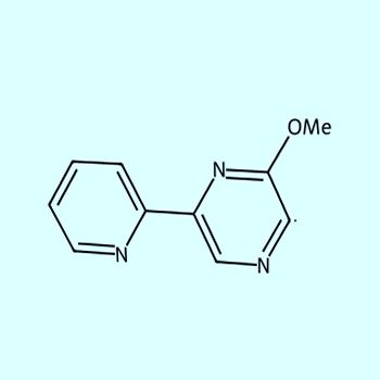 COc1[c]ncc(-c2ccccn2)n1